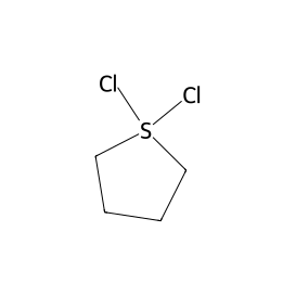 ClS1(Cl)CCCC1